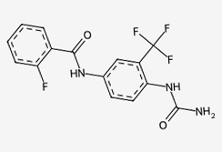 NC(=O)Nc1ccc(NC(=O)c2ccccc2F)cc1C(F)(F)F